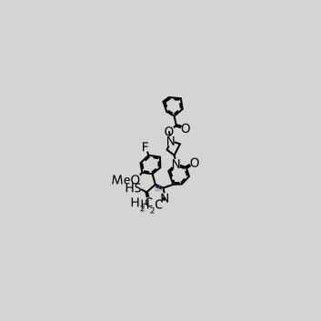 C=N/C(=C(\C(=C)S)c1ccc(F)cc1OC)c1ccc(=O)n(C2CN(OC(=O)c3ccccc3)C2)c1